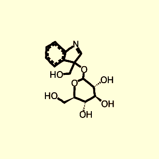 OC[C@H]1OC(OC2(CO)C=Nc3ccccc32)[C@H](O)[C@@H](O)[C@@H]1O